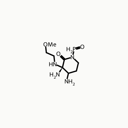 COCCN[C@]1(N)C(=O)N([PH2]=O)CCC1N